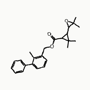 Cc1c(COC(=O)C2C(C3OC3(C)C)C2(C)C)cccc1-c1ccccc1